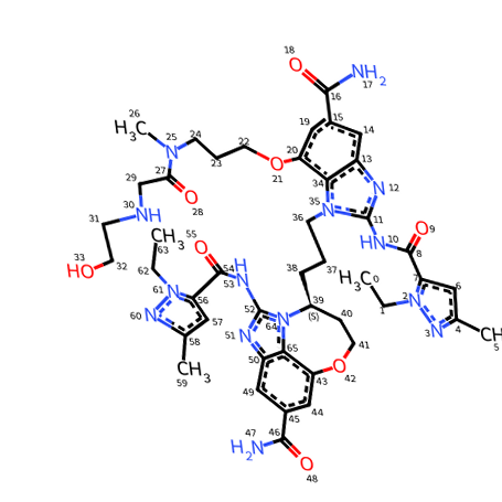 CCn1nc(C)cc1C(=O)Nc1nc2cc(C(N)=O)cc(OCCCN(C)C(=O)CNCCO)c2n1CCC[C@H]1CCOc2cc(C(N)=O)cc3nc(NC(=O)c4cc(C)nn4CC)n1c23